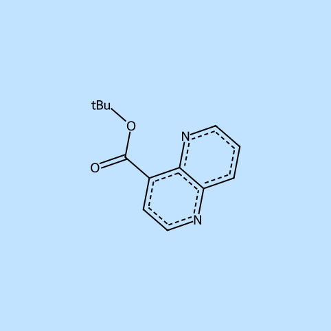 CC(C)(C)OC(=O)c1ccnc2cccnc12